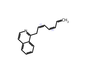 C=C/C=C\C=C/Cc1nccc2ccccc12